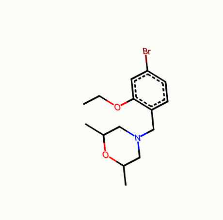 CCOc1cc(Br)ccc1CN1CC(C)OC(C)C1